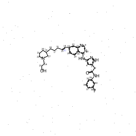 O=C(Cc1cc(Nc2ncnc3cc(/C=C/CCCC4CCCN(CCO)C4)ccc23)n[nH]1)Nc1cccc(F)c1